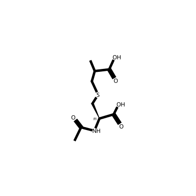 CC(=O)N[C@@H](CSCC(C)C(=O)O)C(=O)O